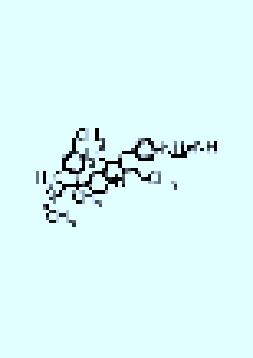 C/C=N\C=C(/C)C(C)(c1ccc(CC)cc1)c1ccc2nc(CCC)c(Cc3ccc(N/C=C\C=N)cc3)c(C)c2c1